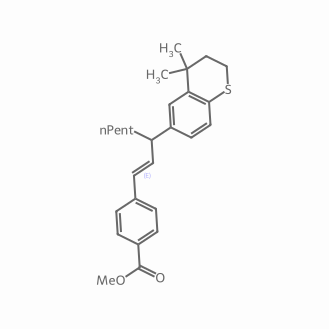 CCCCCC(/C=C/c1ccc(C(=O)OC)cc1)c1ccc2c(c1)C(C)(C)CCS2